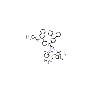 C=C/C=C\c1cc2ccccc2cc1-c1cccc(N(/C=C/CCC(=C)C(=C)C(C=C)C(C=C)c2ccccc2)c2ccc(-c3ccccc3)c(-c3ccccc3)c2)c1